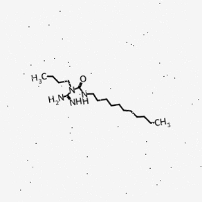 CCCCCCCCCCCNC(=O)N(CCCC)C(=N)N